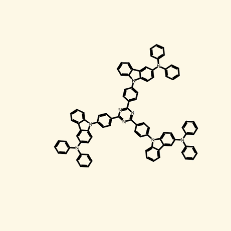 c1ccc(N(c2ccccc2)c2ccc3c(c2)c2ccccc2n3-c2ccc(-c3nc(-c4ccc(-n5c6ccccc6c6cc(N(c7ccccc7)c7ccccc7)ccc65)cc4)nc(-c4ccc(-n5c6ccccc6c6cc(N(c7ccccc7)c7ccccc7)ccc65)cc4)n3)cc2)cc1